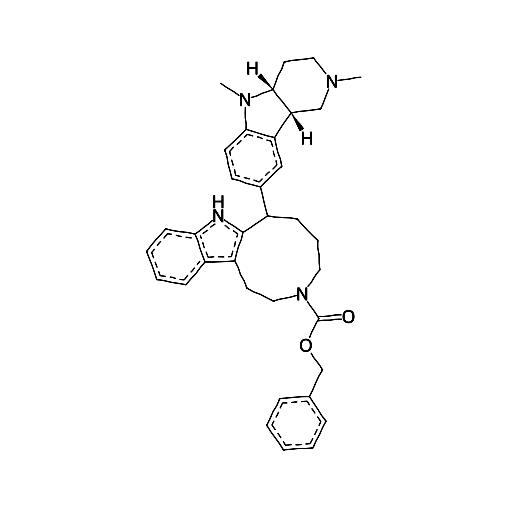 CN1CC[C@@H]2[C@H](C1)c1cc(C3CCCN(C(=O)OCc4ccccc4)CCc4c3[nH]c3ccccc43)ccc1N2C